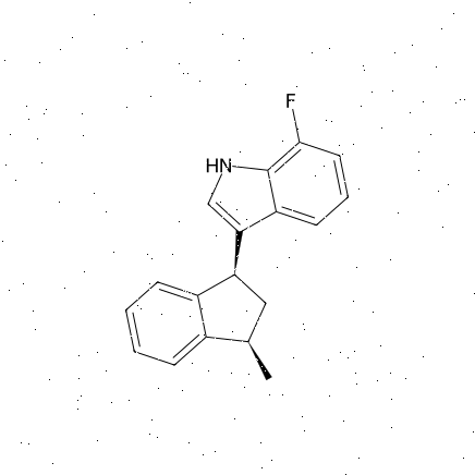 C[C@@H]1C[C@H](c2c[nH]c3c(F)cccc23)c2ccccc21